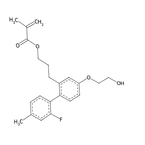 C=C(C)C(=O)OCCCc1cc(OCCO)ccc1-c1ccc(C)cc1F